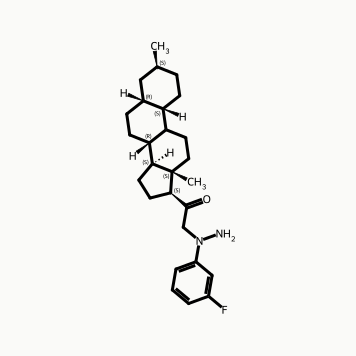 C[C@H]1CC[C@@H]2C3CC[C@]4(C)[C@@H](C(=O)CN(N)c5cccc(F)c5)CC[C@H]4[C@@H]3CC[C@@H]2C1